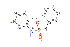 O=S(=O)(Cc1ccccc1)Nc1cccnc1